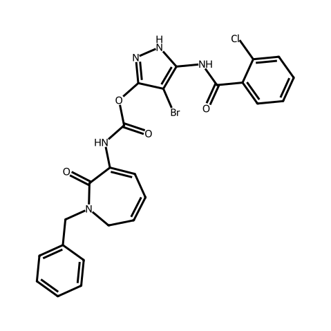 O=C(NC1=CC=CCN(Cc2ccccc2)C1=O)Oc1n[nH]c(NC(=O)c2ccccc2Cl)c1Br